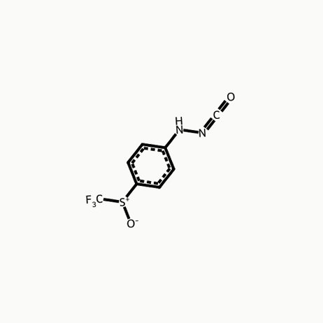 O=C=NNc1ccc([S+]([O-])C(F)(F)F)cc1